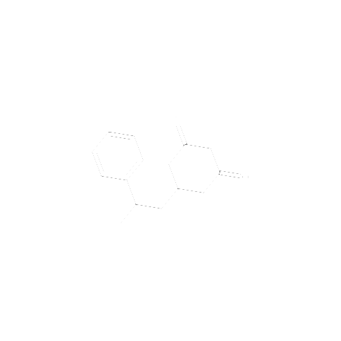 CC(CC1CC(=O)CC(=O)C1)c1ccccc1